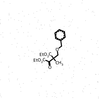 CCOC(=O)C(=O)C(C)(COCc1ccccc1)C(=O)OCC